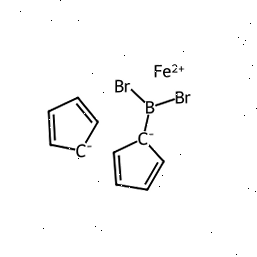 BrB(Br)[c-]1cccc1.[Fe+2].c1cc[cH-]c1